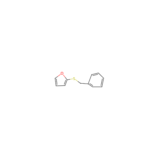 c1ccc(CSc2ccco2)cc1